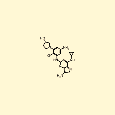 Nc1cc(Nc2nc(NC3CC3)c3ncc(N)n3n2)c(Cl)c(N2CCC(O)C2)c1